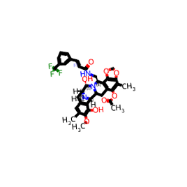 COc1c(C)cc2c(c1O)[C@H]1C3Cc4c(OC(C)=O)c(C)c5c(c4[C@H](CNC(=O)/C=C/c4cccc(C(F)(F)F)c4)N3[C@@H](O)[C@@H](C2)N1C)OCO5